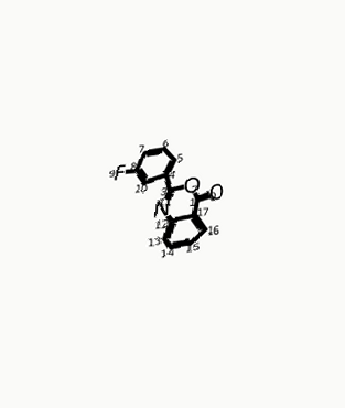 O=c1oc(-c2cccc(F)c2)nc2ccccc12